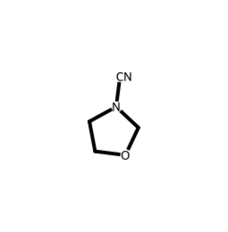 N#CN1CCOC1